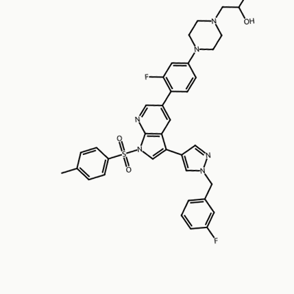 Cc1ccc(S(=O)(=O)n2cc(-c3cnn(Cc4cccc(F)c4)c3)c3cc(-c4ccc(N5CCN(CC(C)O)CC5)cc4F)cnc32)cc1